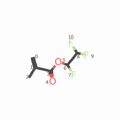 C=C(C)C(=O)OC(F)C(F)F